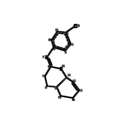 Clc1ccc(N=C2CCC3CCC=CC3S2)cc1